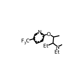 CCC(C(C)Oc1ccc(C(F)(F)F)cn1)N(C)CC